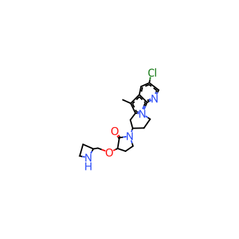 Cc1c2n(c3ncc(Cl)cc13)CCC(N1CCC(OCC3CCN3)C1=O)C2